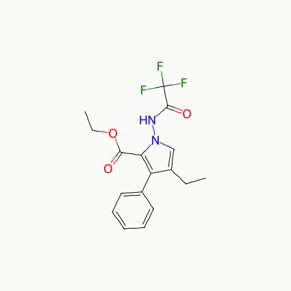 CCOC(=O)c1c(-c2ccccc2)c(CC)cn1NC(=O)C(F)(F)F